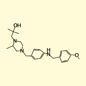 COc1ccc(CNc2ccc(CN3CCN(CC(C)(C)O)C(C)C3)cc2)cc1